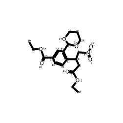 CCOC(=O)CC(C[N+](=O)[O-])c1ccc(C(=O)OCC)cc1C1OCCCO1